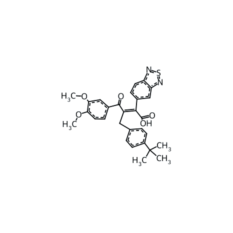 COc1ccc(C(=O)C(Cc2ccc(C(C)(C)C)cc2)=C(C(=O)O)c2ccc3nsnc3c2)cc1OC